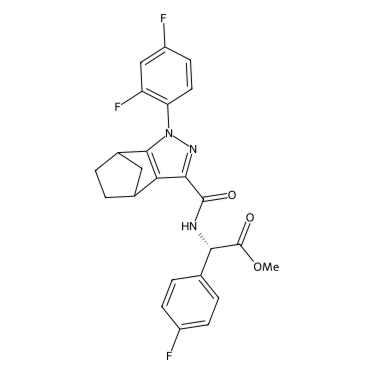 COC(=O)[C@@H](NC(=O)c1nn(-c2ccc(F)cc2F)c2c1C1CCC2C1)c1ccc(F)cc1